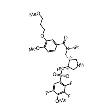 COCCCOc1cc(C(=O)N(C[C@@H]2CNC[C@H]2NS(=O)(=O)c2cc(F)c(OC)c(F)c2F)C(C)C)ccc1OC